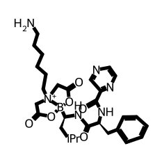 CC(C)C[C@H](NC(=O)[C@H](Cc1ccccc1)NC(=O)c1cnccn1)[B-]12OC(=O)C[N+]1(CCCCCCN)CC(=O)O2